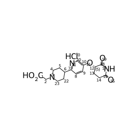 Cl.O=C(O)CN1CCC(c2ccc(O[C@H]3CCC(=O)NC3=O)cn2)CC1